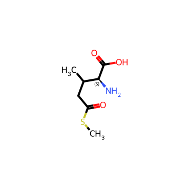 CSC(=O)CC(C)[C@H](N)C(=O)O